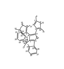 Cc1cc(-c2sc3c(c2-c2cc(C)sc2C)[PH](C)(c2ccccc2)c2ccccc2-3)c(C)s1